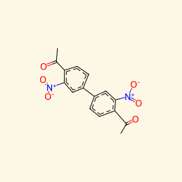 CC(=O)c1ccc(-c2ccc(C(C)=O)c([N+](=O)[O-])c2)cc1[N+](=O)[O-]